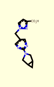 O=C(O)c1ccn(Cc2cnc(N3CC4CC4C3)nc2)n1